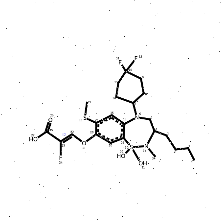 CCCCC1CN(C2CCC(F)(F)CC2)c2cc(SC)c(O/C=C(\F)C(=O)O)cc2S(O)(O)N1C